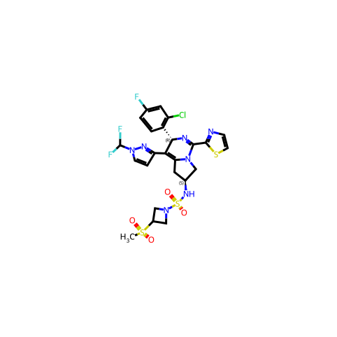 CS(=O)(=O)C1CN(S(=O)(=O)N[C@H]2CC3=C(c4ccn(C(F)F)n4)[C@H](c4ccc(F)cc4Cl)N=C(c4nccs4)N3C2)C1